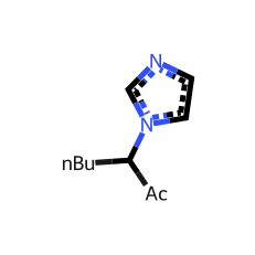 CCCCC(C(C)=O)n1ccnc1